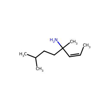 C/C=C\C(C)(N)CCC(C)C